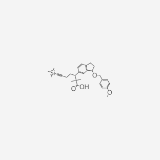 COc1ccc(COC2CCc3ccc(C(CCC#C[Si](C)(C)C)C(C)(C)C(=O)O)cc32)cc1